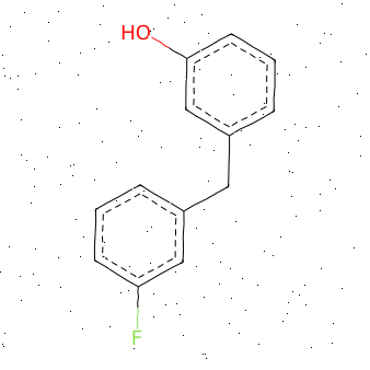 Oc1cccc(Cc2cccc(F)c2)c1